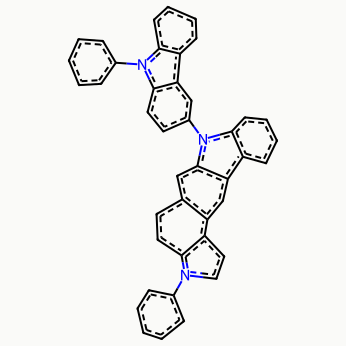 c1ccc(-n2ccc3c4cc5c6ccccc6n(-c6ccc7c(c6)c6ccccc6n7-c6ccccc6)c5cc4ccc32)cc1